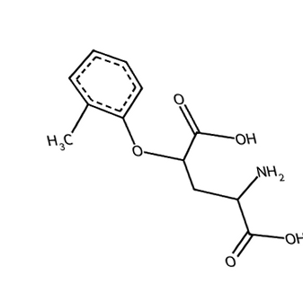 Cc1ccccc1OC(CC(N)C(=O)O)C(=O)O